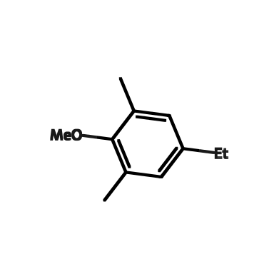 CCc1cc(C)c(OC)c(C)c1